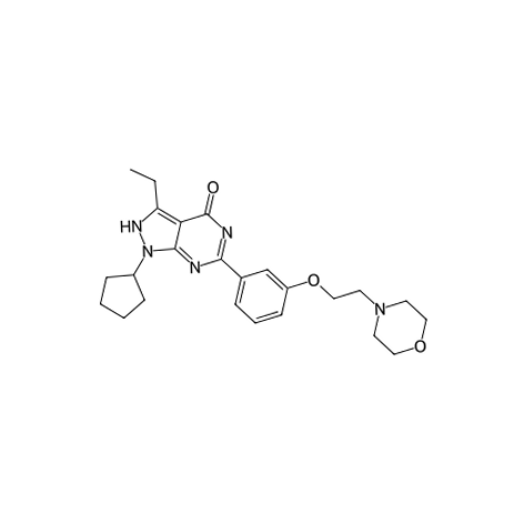 CCc1[nH]n(C2CCCC2)c2nc(-c3cccc(OCCN4CCOCC4)c3)nc(=O)c1-2